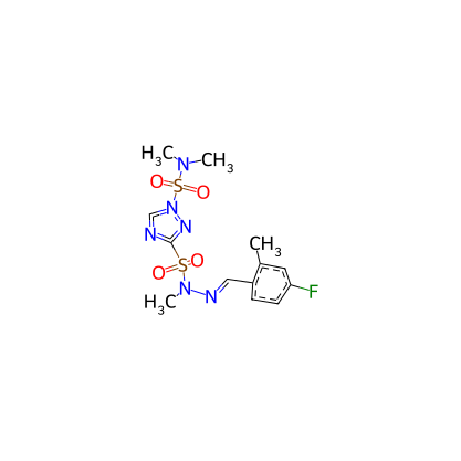 Cc1cc(F)ccc1/C=N/N(C)S(=O)(=O)c1ncn(S(=O)(=O)N(C)C)n1